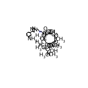 CC[C@H]1OC(=O)[C@H](C)C(=O)[C@H](C)[C@@H](O[C@@H]2O[C@H](C)CC(N(C)C)C2O)[C@](C)(OC)C[C@@H](C)C(=O)[C@H](C)[C@H]2N(C/C=C/Cn3cc(-c4cccc(N)c4)nn3)C(=O)O[C@]12C